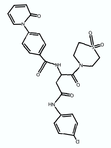 O=C(CC(NC(=O)c1ccc(-n2ccccc2=O)cc1)C(=O)N1CCS(=O)(=O)CC1)Nc1ccc(Cl)cc1